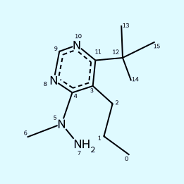 CCCc1c(N(C)N)ncnc1C(C)(C)C